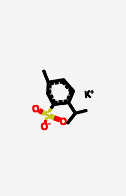 Cc1ccc(C(C)C)c(S(=O)(=O)[O-])c1.[K+]